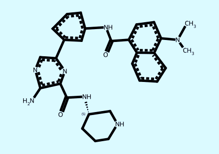 CN(C)c1ccc(C(=O)Nc2cccc(-c3cnc(N)c(C(=O)N[C@H]4CCCNC4)n3)c2)c2ccccc12